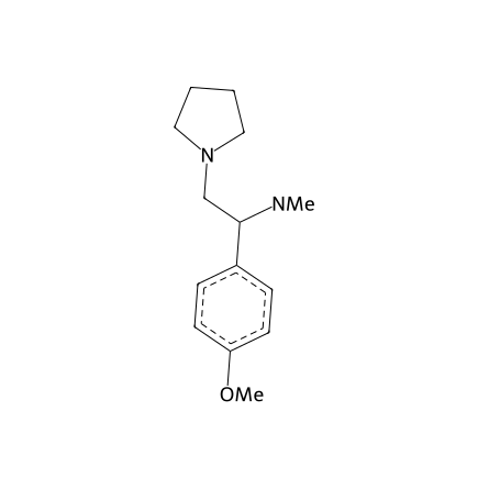 CNC(CN1CCCC1)c1ccc(OC)cc1